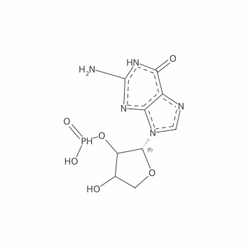 Nc1nc2c(ncn2[C@@H]2OCC(O)C2O[PH](=O)O)c(=O)[nH]1